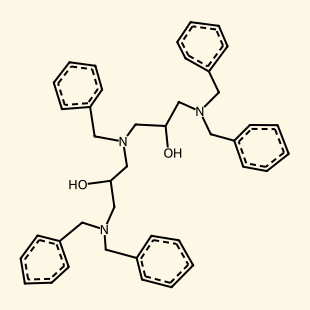 OC(CN(Cc1ccccc1)Cc1ccccc1)CN(Cc1ccccc1)CC(O)CN(Cc1ccccc1)Cc1ccccc1